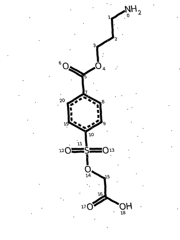 NCCCOC(=O)c1ccc(S(=O)(=O)OCC(=O)O)cc1